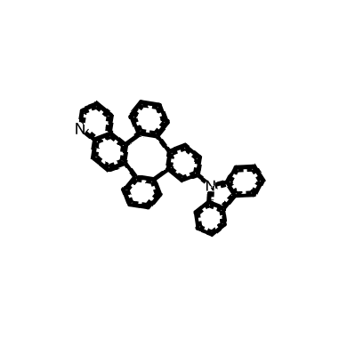 c1ccc2c(c1)-c1cc(-n3c4ccccc4c4ccccc43)ccc1-c1ccccc1-c1c-2ccc2ncccc12